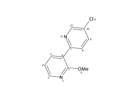 COc1ncccc1-c1ccc(Cl)cn1